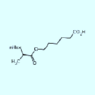 CCCCCCC(C)C(=O)OCCCCCC(=O)O